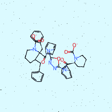 O=C([O-])N1CCCC[C@H]1C(=O)[N+]1(c2nnc([N+]3(C(=O)[C@]4(Cc5ccccc5)C(Cc5ccccc5)CCCN4C(=O)[O-])C4=CC=C3C=C4)o2)C2=CC=C1C=C2